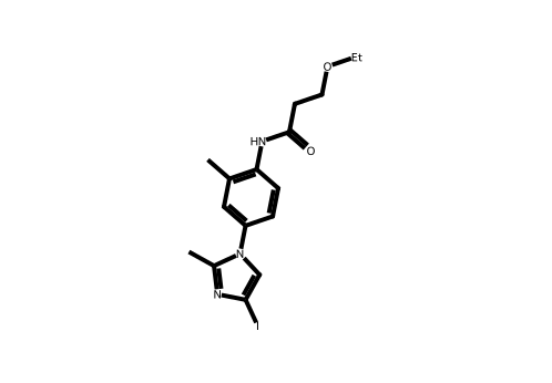 CCOCCC(=O)Nc1ccc(-n2cc(I)nc2C)cc1C